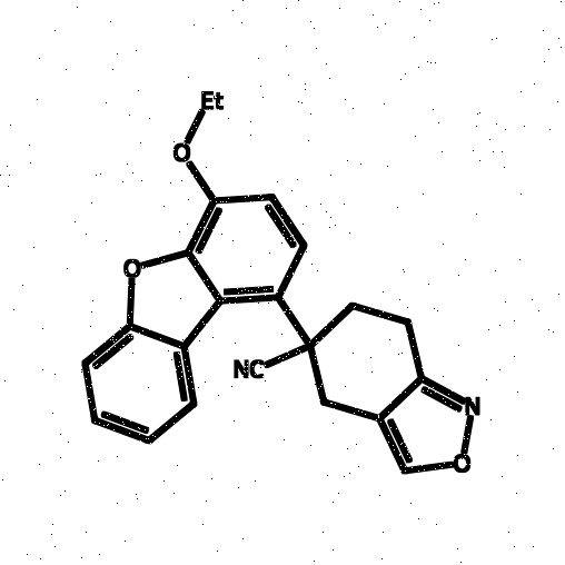 CCOc1ccc(C2(C#N)CCc3nocc3C2)c2c1oc1ccccc12